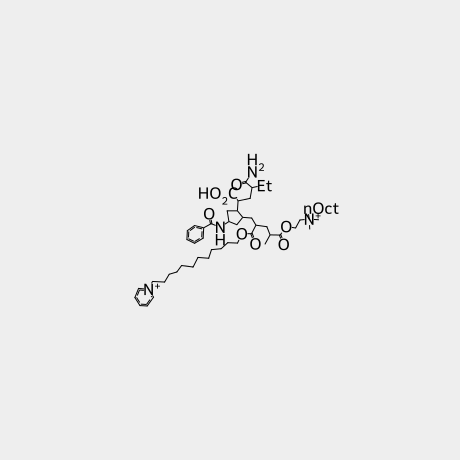 CCCCCCCC[N+](C)(C)CCOC(=O)C(C)CC(CC1CC(NC(=O)c2ccccc2)CC1C(CC(CC)C(N)=O)C(=O)O)C(=O)OCCCCCCCCCCCC[n+]1ccccc1